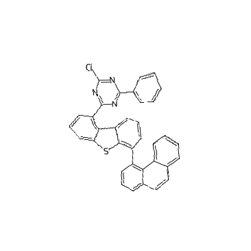 Clc1nc(-c2ccccc2)nc(-c2cccc3sc4c(-c5cccc6ccc7ccccc7c56)cccc4c23)n1